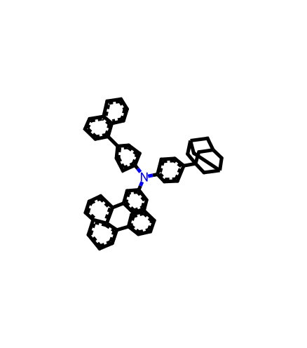 c1ccc(-c2cccc3cccc(-c4cccc(N(c5ccc(-c6cccc7ccccc67)cc5)c5ccc(C67CC8CC(CC(C8)C6)C7)cc5)c4)c23)cc1